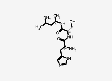 CC(N)C[C@@H](C)NC(=O)[C@H](CO)NC(=O)[C@@H](N)Cc1cnc[nH]1